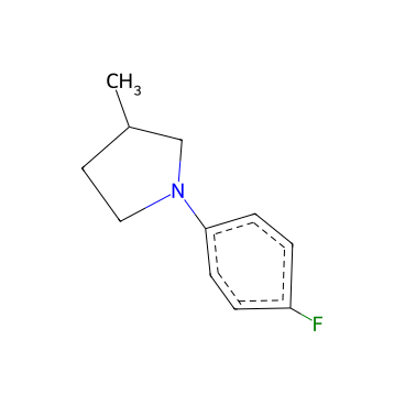 CC1CCN(c2ccc(F)cc2)C1